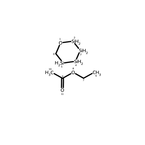 C1O[SiH2][SiH2][SiH2][SiH2]1.CCOC(C)=O